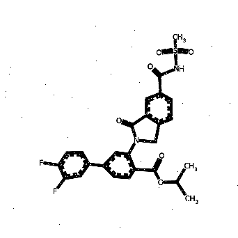 CC(C)OC(=O)c1ccc(-c2ccc(F)c(F)c2)cc1N1Cc2ccc(C(=O)NS(C)(=O)=O)cc2C1=O